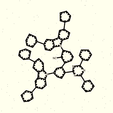 N#Cc1c(-c2cc(-n3c4ccc(-c5ccccc5)cc4c4cc(-c5ccccc5)ccc43)ccc2-c2nc(-c3ccccc3)nc(-c3ccccc3)n2)cccc1-n1c2ccc(-c3ccccc3)cc2c2cc(-c3ccccc3)ccc21